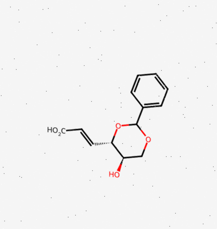 O=C(O)/C=C/[C@@H]1OC(c2ccccc2)OC[C@H]1O